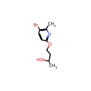 Cc1nc(OCC[C@@H](C)O)ccc1Br